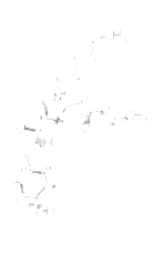 CCCCCCn1cc(C(=O)NCc2ccc(O)cc2)nc1CC(=O)OCC